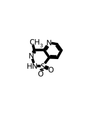 CC1=NNS(=O)(=O)c2cccnc21